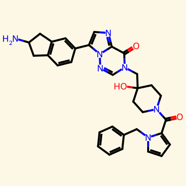 NC1Cc2ccc(-c3cnc4c(=O)n(CC5(O)CCN(C(=O)c6cccn6Cc6ccccc6)CC5)cnn34)cc2C1